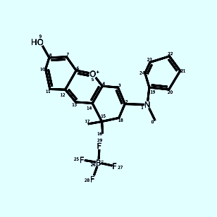 CN(C1=Cc2[o+]c3cc(O)ccc3cc2C(C)(C)C1)c1ccccc1.F[B-](F)(F)F